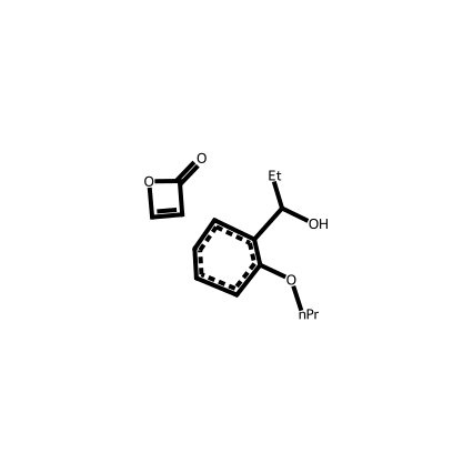 CCCOc1ccccc1C(O)CC.O=C1C=CO1